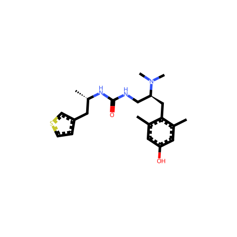 Cc1cc(O)cc(C)c1C[C@@H](CNC(=O)N[C@@H](C)Cc1ccsc1)N(C)C